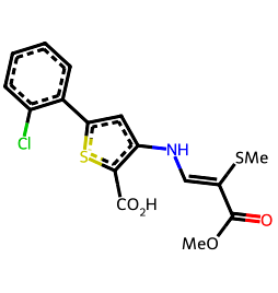 COC(=O)/C(=C/Nc1cc(-c2ccccc2Cl)sc1C(=O)O)SC